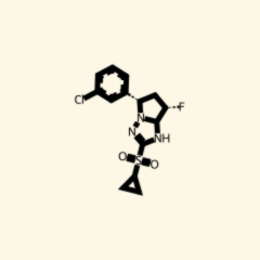 O=S(=O)(C1=NN2C(N1)[C@@H](F)C[C@H]2c1cccc(Cl)c1)C1CC1